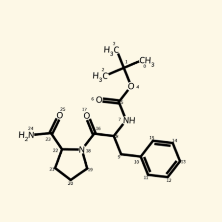 CC(C)(C)OC(=O)NC(Cc1ccccc1)C(=O)N1CCCC1C(N)=O